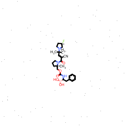 CC(C)(C=C(C#N)C(=O)N1CCC[C@]1(C)COC(=O)NC(Cc1ccccc1)B(O)O)N1CC[C@H](F)C1